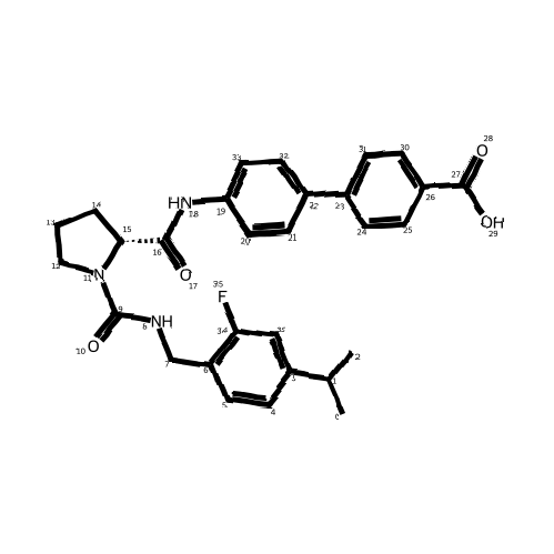 CC(C)c1ccc(CNC(=O)N2CCC[C@@H]2C(=O)Nc2ccc(-c3ccc(C(=O)O)cc3)cc2)c(F)c1